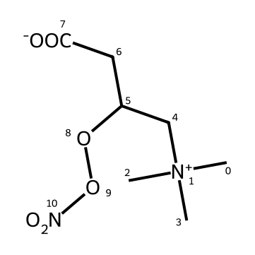 C[N+](C)(C)CC(CC(=O)[O-])OO[N+](=O)[O-]